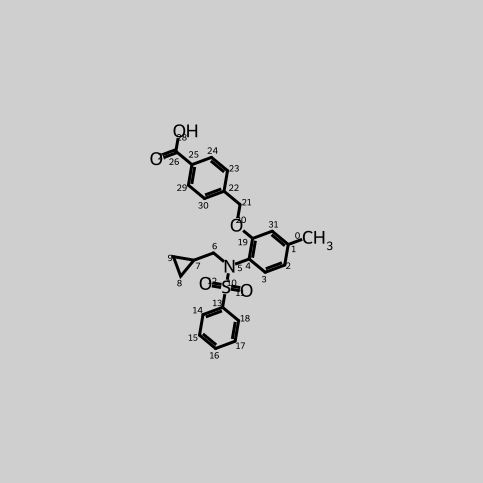 Cc1ccc(N(CC2CC2)S(=O)(=O)c2ccccc2)c(OCc2ccc(C(=O)O)cc2)c1